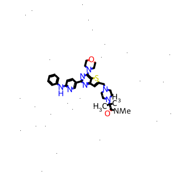 CNC(=O)C(C)(C)N1CCN(Cc2cc3nc(-c4ccc(Nc5ccccc5)nc4)nc(N4CCOCC4)c3s2)CC1